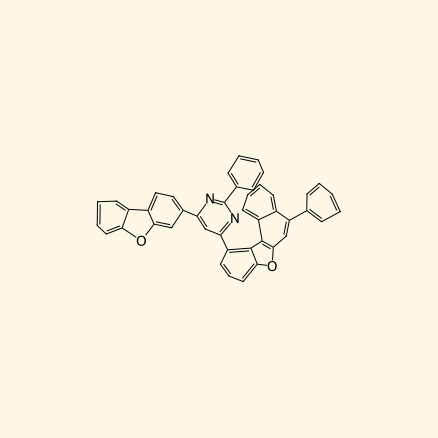 c1ccc(-c2nc(-c3ccc4c(c3)oc3ccccc34)cc(-c3cccc4oc5cc(-c6ccccc6)c6ccccc6c5c34)n2)cc1